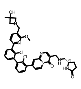 COc1nc(-c2cccc(-c3cccc(-c4ccn5c(=O)c(CNC[C@@H]6CCC(=O)N6)cnc5c4)c3Cl)c2Cl)ccc1CN1CC(C)(O)C1